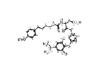 COc1ccc(CCCCOC(=O)NC(CC(=O)O)C(=O)Cn2nnc(Sc3c(Cl)cc(N(C)C)cc3Cl)n2)cc1